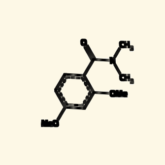 COc1ccc(C(=O)N(C)C)c(OC)c1